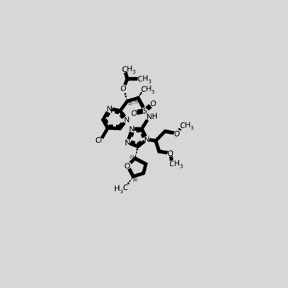 COCC(COC)n1c(NS(=O)(=O)[C@@H](C)[C@@H](OC(C)C)c2ncc(Cl)cn2)nnc1[C@@H]1CC[C@H](C)O1